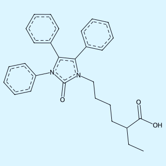 CCC(CCCCn1c(-c2ccccc2)c(-c2ccccc2)n(-c2ccccc2)c1=O)C(=O)O